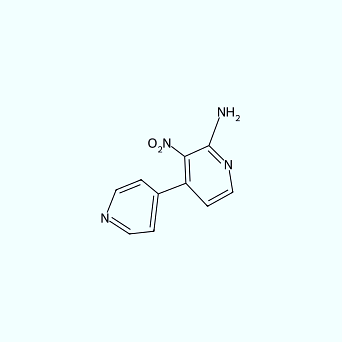 Nc1nccc(-c2ccncc2)c1[N+](=O)[O-]